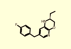 CC[C@H]1COc2ncc(Cc3ccc(F)cc3)cc2N1